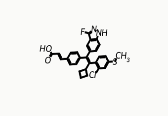 CSc1ccc(C(=C(c2ccc(C=CC(=O)O)cc2)c2ccc3[nH]nc(F)c3c2)C2CCC2)c(Cl)c1